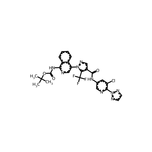 CC(C)(C)OC(=O)Nc1ncc(-n2ncc(C(=O)Nc3cnc(-n4nccn4)c(Cl)c3)c2C(F)(F)F)c2ccccc12